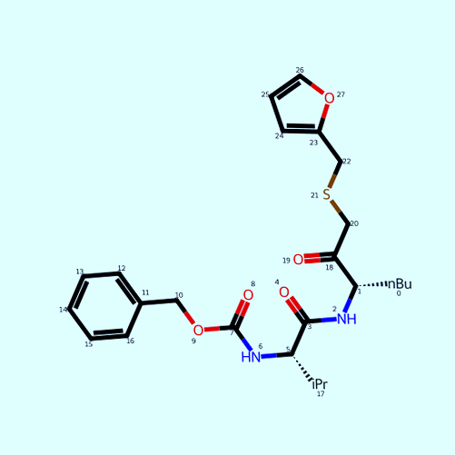 CCCC[C@H](NC(=O)[C@@H](NC(=O)OCc1ccccc1)C(C)C)C(=O)CSCc1ccco1